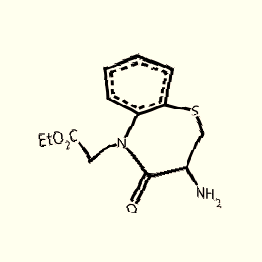 CCOC(=O)CN1C(=O)C(N)CSc2ccccc21